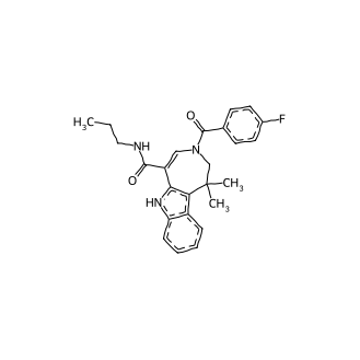 CCCNC(=O)C1=CN(C(=O)c2ccc(F)cc2)CC(C)(C)c2c1[nH]c1ccccc21